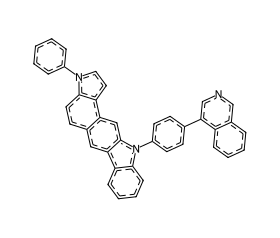 c1ccc(-n2ccc3c4cc5c(cc4ccc32)c2ccccc2n5-c2ccc(-c3cncc4ccccc34)cc2)cc1